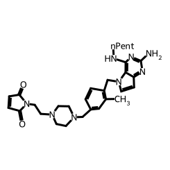 CCCCCNc1nc(N)nc2ccn(Cc3ccc(CN4CCN(CCN5C(=O)C=CC5=O)CC4)cc3C)c12